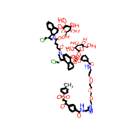 Cc1ccc(S(=O)(=O)CCC(=O)c2ccc(C(=O)NCc3cn(CCOCCOCCOCCNC(=O)c4ccc(O[C@@H]5O[C@H](CO)[C@H](O)[C@H](O)[C@H]5O)c(OS(=O)(=O)Oc5cc6c(c7ccccc57)[C@H](CCl)CN6C(=O)CCCC(=O)N5C[C@@H](CCl)c6c5cc(OC5O[C@H](CO)[C@H](O)[C@H](O)[C@H]5O)c5ccccc65)c4)nn3)cc2)cc1